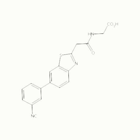 [C-]#[N+]c1cccc(-c2ccc3nc(CC(=O)NCC(=O)O)sc3c2)c1